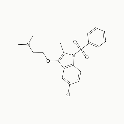 Cc1c(OCCN(C)C)c2cc(Cl)ccc2n1S(=O)(=O)c1ccccc1